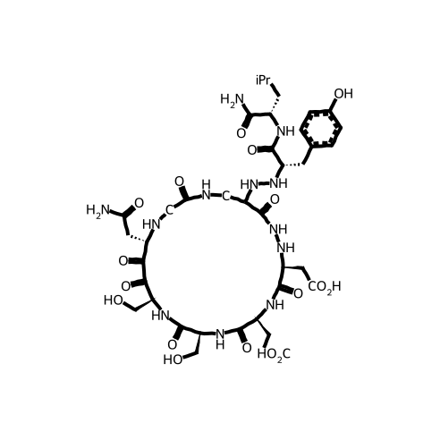 CC(C)C[C@H](NC(=O)[C@H](Cc1ccc(O)cc1)NNC1CNC(=O)CN[C@@H](CC(N)=O)C(=O)C(=O)[C@H](CO)NC(=O)[C@H](CO)NC(=O)[C@H](CC(=O)O)NC(=O)[C@H](CC(=O)O)NNC1=O)C(N)=O